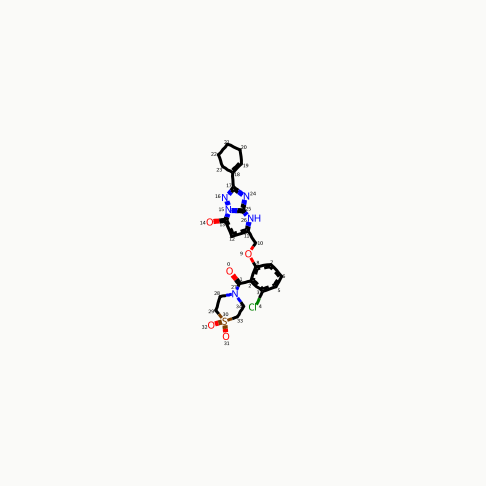 O=C(c1c(Cl)cccc1OCc1cc(=O)n2nc(C3=CCCCC3)nc2[nH]1)N1CCS(=O)(=O)CC1